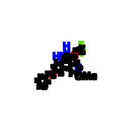 COc1ccc(C2=C(c3ccc(OCc4ccccc4)cc3)NNN2OCC(F)F)cn1